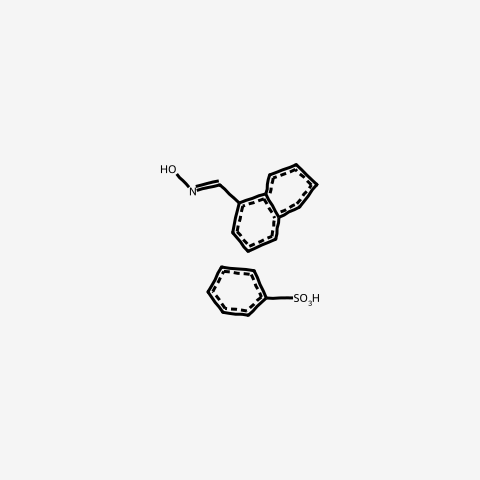 O=S(=O)(O)c1ccccc1.ON=Cc1cccc2ccccc12